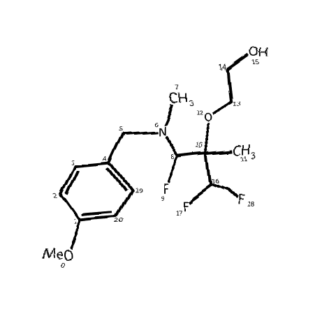 COc1ccc(CN(C)C(F)C(C)(OCCO)C(F)F)cc1